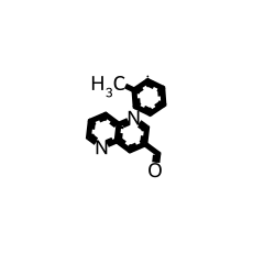 Cc1[c]cccc1.O=Cc1cnc2cccnc2c1